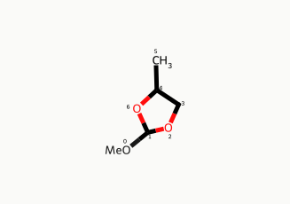 COC1OCC(C)O1